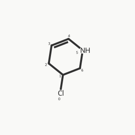 ClC1CC=CNC1